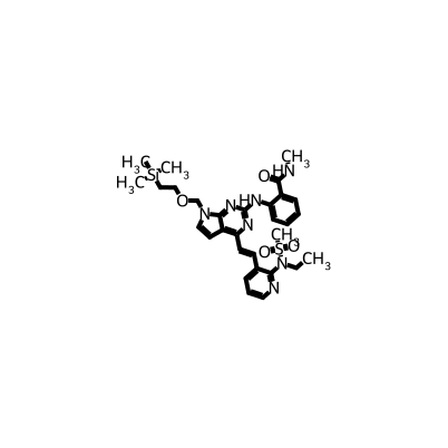 CCN(c1ncccc1C=Cc1nc(Nc2ccccc2C(=O)NC)nc2c1ccn2COCC[Si](C)(C)C)S(C)(=O)=O